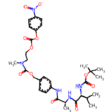 CC(C)[C@H](NC(=O)OC(C)(C)C)C(=O)N[C@@H](C)C(=O)Nc1ccc(COC(=O)N(C)CCOC(=O)Oc2ccc([N+](=O)[O-])cc2)cc1